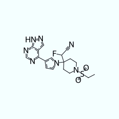 CCS(=O)(=O)N1CCC(C(F)C#N)(n2ccc(-c3ncnc4[nH]ncc34)c2)CC1